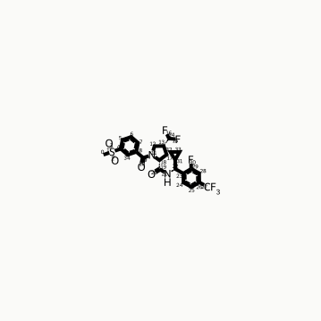 CS(=O)(=O)c1cccc(C(=O)N2C[C@H](C(F)F)C[C@@H]2C(=O)N[C@@H](c2ccc(C(F)(F)F)cc2F)C2CC2)c1